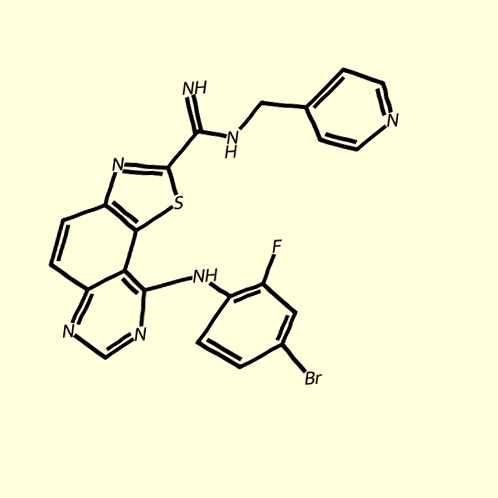 N=C(NCc1ccncc1)c1nc2ccc3ncnc(Nc4ccc(Br)cc4F)c3c2s1